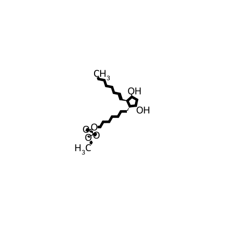 CCCCCC/C=C/[C@@H]1[C@@H](CCCCCCCOS(=O)(=O)OCC)[C@@H](O)C[C@H]1O